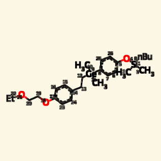 CCCC[Si](C)(C)Oc1cc[c]([Ge]([CH3])([CH3])[CH2]Cc2ccc(OCCOCC)cc2)cc1